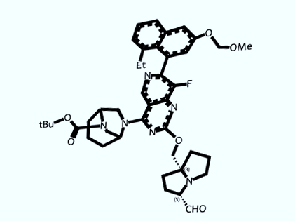 CCc1cccc2cc(OCOC)cc(-c3ncc4c(N5CC6CCCC5CN6C(=O)OC(C)(C)C)nc(OC[C@]56CCCN5[C@H](C=O)CC6)nc4c3F)c12